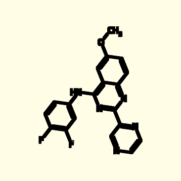 COc1ccc2nc(-c3cnccn3)nc(Nc3ccc(F)c(F)c3)c2c1